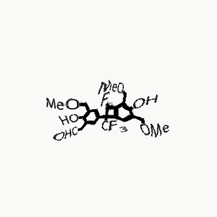 COCc1cc(C2(C(F)(F)F)c3cc(COC)c(O)c(COC)c3[C@@H]2F)cc(CC=O)c1O